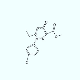 CCc1cc(=O)c(C(=O)OC)nn1-c1ccc(Cl)cc1